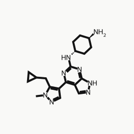 Cn1ncc(-c2nc(N[C@H]3CC[C@H](N)CC3)nc3[nH]ncc23)c1CC1CC1